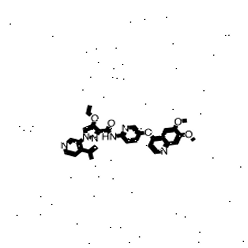 C=C(C)c1ccncc1-n1cc(OCC)c(C(=O)Nc2ccc(Oc3ccnc4cc(OC)c(OC)cc34)cn2)n1